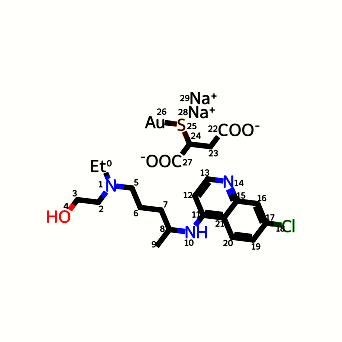 CCN(CCO)CCCC(C)Nc1ccnc2cc(Cl)ccc12.O=C([O-])CC([S][Au])C(=O)[O-].[Na+].[Na+]